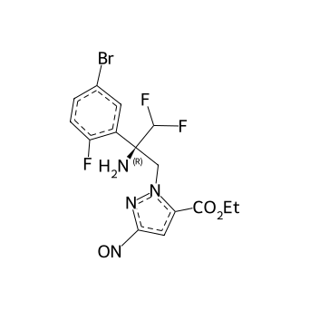 CCOC(=O)c1cc(N=O)nn1C[C@](N)(c1cc(Br)ccc1F)C(F)F